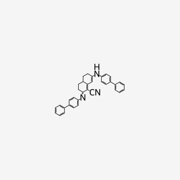 N#CC1=C2C=C(Nc3ccc(-c4ccccc4)cc3)CCC2CC/C1=N\c1ccc(-c2ccccc2)cc1